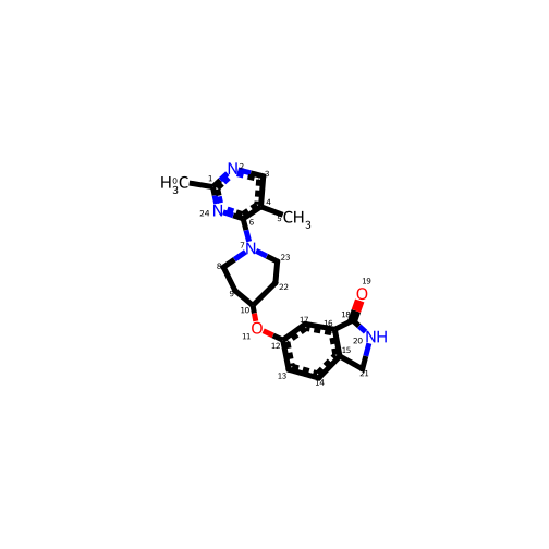 Cc1ncc(C)c(N2CCC(Oc3ccc4c(c3)C(=O)NC4)CC2)n1